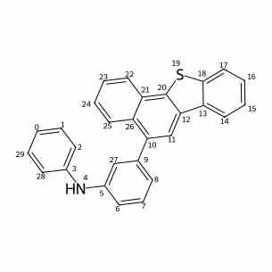 c1ccc(Nc2cccc(-c3cc4c5ccccc5sc4c4ccccc34)c2)cc1